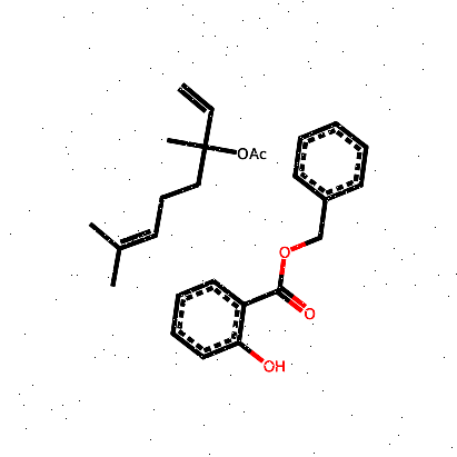 C=CC(C)(CCC=C(C)C)OC(C)=O.O=C(OCc1ccccc1)c1ccccc1O